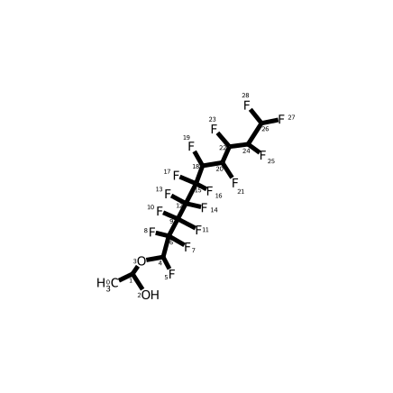 CC(O)OC(F)C(F)(F)C(F)(F)C(F)(F)C(F)(F)C(F)C(F)C(F)C(F)C(F)F